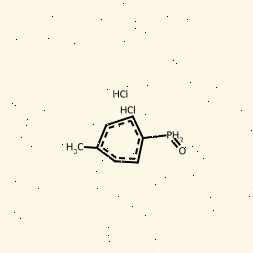 Cc1ccc([PH2]=O)cc1.Cl.Cl